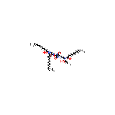 CCCCCCCCCC[C@@H](O)CN(CCCC[C@H]1NC(=O)[C@@H](CCCCN(C[C@H](O)CCCCCCCCCC)C[C@@H](C)O)NC1=O)C[C@H](O)CCCCCCCCCC